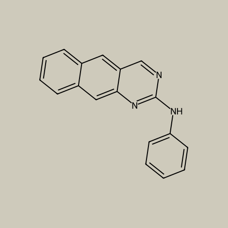 c1ccc(Nc2ncc3cc4ccccc4cc3n2)cc1